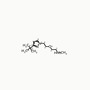 CNCCOCCn1ccc(C(C)(C)C)n1